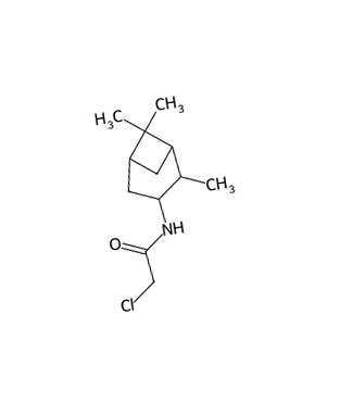 CC1C(NC(=O)CCl)CC2CC1C2(C)C